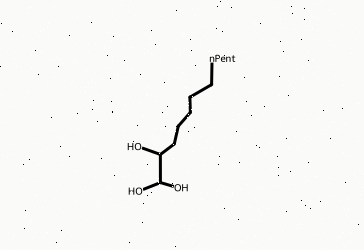 CCCCCCCCCCC(O)C(O)O